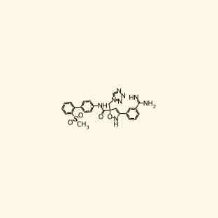 CS(=O)(=O)c1ccccc1-c1ccc(NC(=O)C2(Cn3cnnn3)C=C(c3cccc(C(=N)N)c3)NO2)cc1